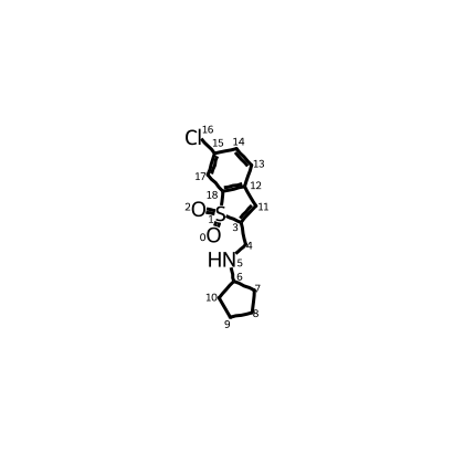 O=S1(=O)C(CNC2CCCC2)=Cc2ccc(Cl)cc21